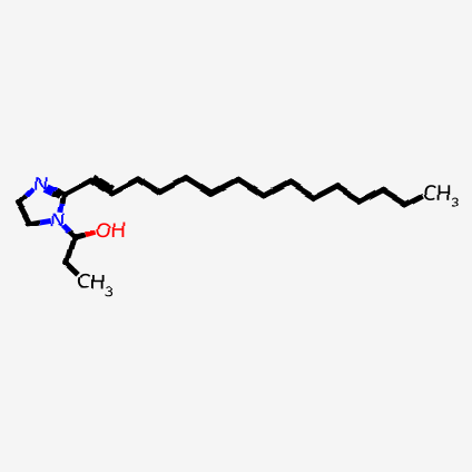 CCCCCCCCCCCCCC=CC1=NCCN1C(O)CC